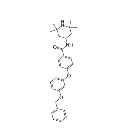 CC1(C)CC(NC(=O)c2ccc(Oc3cccc(OCc4ccccc4)c3)cc2)CC(C)(C)N1